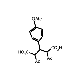 COc1ccc(C(C(C(C)=O)C(=O)O)C(C(C)=O)C(=O)O)cc1